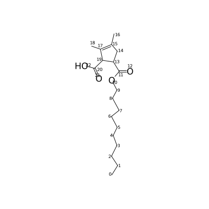 CCCCCCCCCCOC(=O)C1CC(C)=C(C)C1C(=O)O